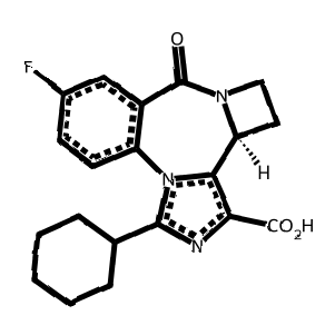 O=C(O)c1nc(C2CCCCC2)n2c1[C@@H]1CCN1C(=O)c1cc(F)ccc1-2